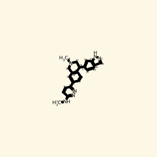 CNc1ccc(-c2ccc3c(c2)CN(C)CC3c2ccc3cn[nH]c3c2)nn1